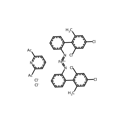 CC(=O)c1cccc(C(C)=O)n1.Cc1cc(Cl)cc(Cl)c1-c1ccccc1[N]=[Fe+2]=[N]c1ccccc1-c1c(C)cc(Cl)cc1Cl.[Cl-].[Cl-]